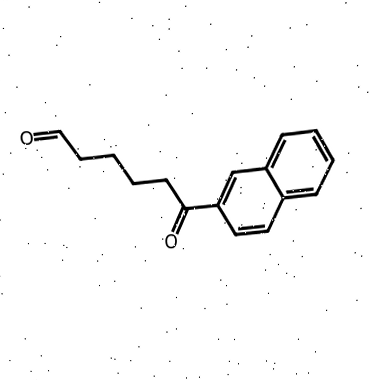 O=CCCCCC(=O)c1ccc2ccccc2c1